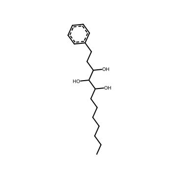 CCCCCCCC(O)C(O)C(O)CCc1ccccc1